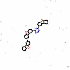 c1ccc2c(c1)oc1ccc(-c3ccc4oc5ccc(-c6ncnc(-c7ccc8sc9ccccc9c8c7)n6)cc5c4c3)cc12